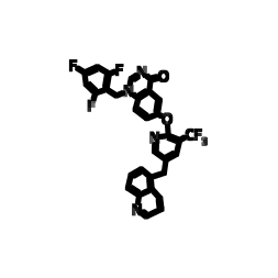 O=c1ncn(Cc2c(F)cc(F)cc2F)c2ccc(Oc3ncc(Cc4cccc5ncccc45)cc3C(F)(F)F)cc12